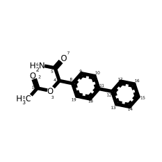 CC(=O)OC(C(N)=O)c1ccc(-c2ccccc2)cc1